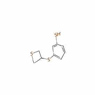 Sc1cccc(SC2CSC2)c1